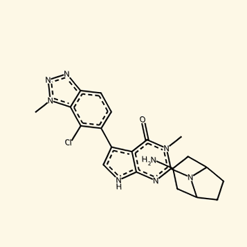 Cn1c(N2C3CCC2CC(N)C3)nc2[nH]cc(-c3ccc4nnn(C)c4c3Cl)c2c1=O